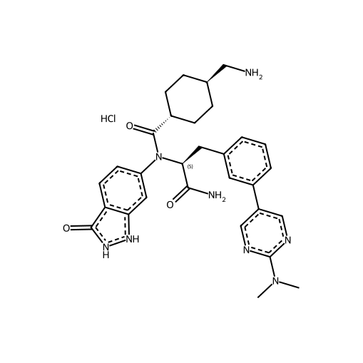 CN(C)c1ncc(-c2cccc(C[C@@H](C(N)=O)N(c3ccc4c(=O)[nH][nH]c4c3)C(=O)[C@H]3CC[C@H](CN)CC3)c2)cn1.Cl